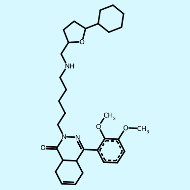 COc1cccc(C2=NN(CCCCCNCC3CCC(C4CCCCC4)O3)C(=O)C3CC=CCC23)c1OC